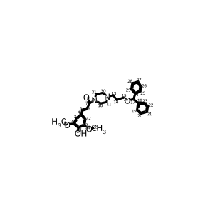 COc1cc(C=CC(=O)N2CCN(CCCOC(c3ccccc3)c3ccccc3)CC2)cc(OC)c1O